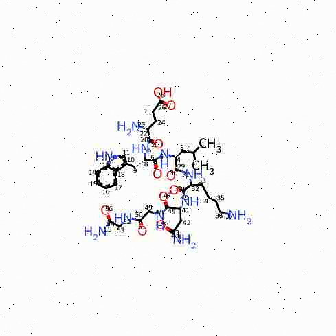 CC(C)C[C@H](NC(=O)[C@H](Cc1c[nH]c2ccccc12)NC(=O)[C@@H](N)CCC(=O)O)C(=O)N[C@@H](CCCCN)C(=O)N[C@@H](CC(N)=O)C(=O)NCC(=O)NCC(N)=O